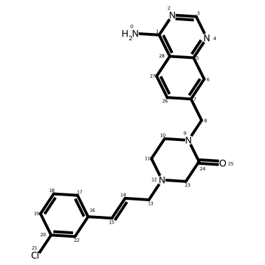 Nc1ncnc2cc(CN3CCN(C/C=C/c4cccc(Cl)c4)CC3=O)ccc12